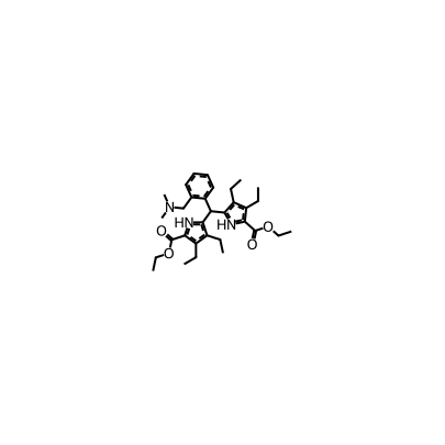 CCOC(=O)c1[nH]c(C(c2ccccc2CN(C)C)c2[nH]c(C(=O)OCC)c(CC)c2CC)c(CC)c1CC